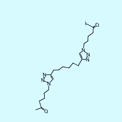 CC(=O)CCCCn1cc(CCCCCCc2cn(CCCCC(=O)I)nn2)nn1